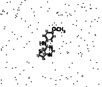 COc1ccc(Nc2ncnc3ccsc23)cc1